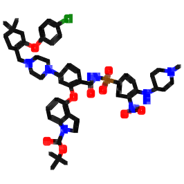 CN1CCC(Nc2ccc(S(=O)(=O)NC(=O)c3ccc(N4CCN(CC5=C(Oc6ccc(Cl)cc6)CC(C)(C)CC5)CC4)cc3Oc3cccc4c3ccn4C(=O)OC(C)(C)C)cc2[N+](=O)[O-])CC1